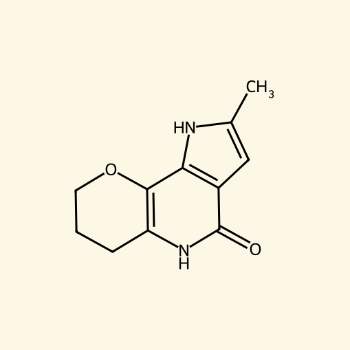 Cc1cc2c(=O)[nH]c3c(c2[nH]1)OCCC3